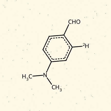 [2H]c1cc(N(C)C)ccc1C=O